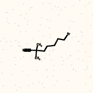 CC(C)(C#N)CCCCCBr